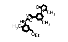 CCOCc1ccc(C)c(Nc2ncc(-c3cc(C)cc(N4C(=O)CCC4C)c3)o2)c1